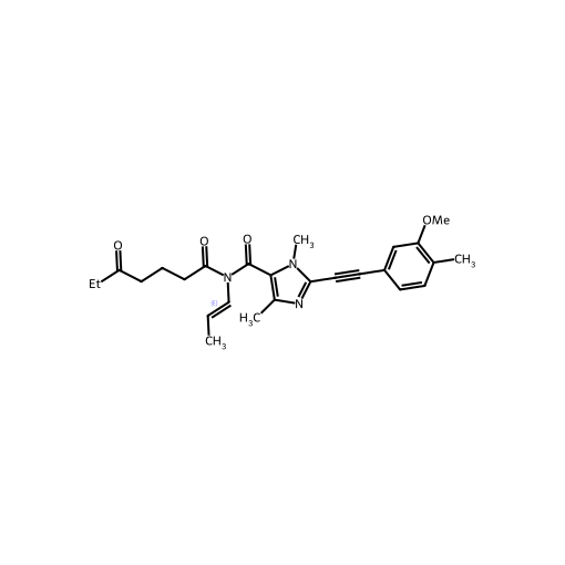 C/C=C/N(C(=O)CCCC(=O)CC)C(=O)c1c(C)nc(C#Cc2ccc(C)c(OC)c2)n1C